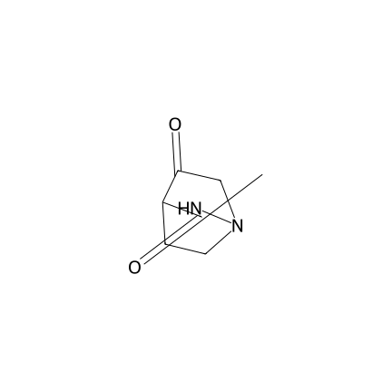 O=C1CN2CCC1C(=O)N2